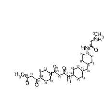 CNCC(=O)NC1CCC(CC2CCC(NC(=O)CC(=O)N3CCN(C(=O)CC(C)=O)CC3)CC2)CC1